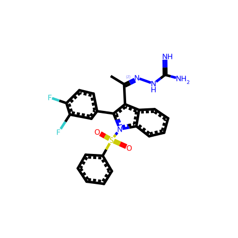 C/C(=N/NC(=N)N)c1c(-c2ccc(F)c(F)c2)n(S(=O)(=O)c2ccccc2)c2ccccc12